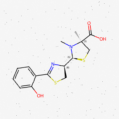 CN1[C@H]([C@H]2CSC(c3ccccc3O)=N2)SC[C@]1(C)C(=O)O